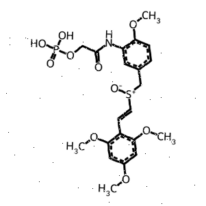 COc1cc(OC)c(/C=C/[S+]([O-])Cc2ccc(OC)c(NC(=O)COP(=O)(O)O)c2)c(OC)c1